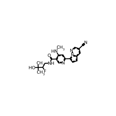 CNc1cc(-c2ccc3cc(C#N)cnn23)ncc1C(=O)NCC(F)C(C)(C)O